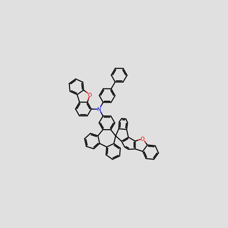 c1ccc(-c2ccc(N(c3ccc4c(c3)-c3ccccc3-c3ccccc3C43c4ccccc4-c4c3ccc3c4oc4ccccc43)c3cccc4c3oc3ccccc34)cc2)cc1